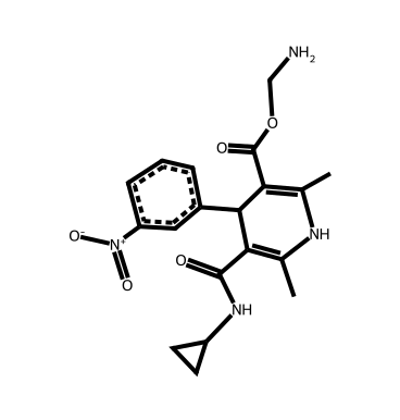 CC1=C(C(=O)NC2CC2)C(c2cccc([N+](=O)[O-])c2)C(C(=O)OCN)=C(C)N1